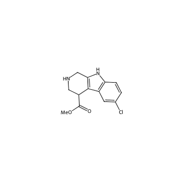 COC(=O)C1CNCc2[nH]c3ccc(Cl)cc3c21